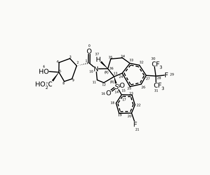 O=C([C@H]1CC[C@](O)(C(=O)O)CC1)N1CC[C@@]2(S(=O)(=O)c3ccc(F)cc3)c3ccc(C(F)(C(F)(F)F)C(F)(F)F)cc3CC[C@@H]12